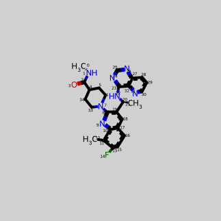 CNC(=O)C1CCN(c2nc3c(C)c(F)ccc3cc2[C@H](C)Nc2ncnc3cccnc23)CC1